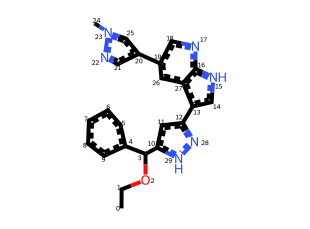 CCOC(c1ccccc1)c1cc(-c2c[nH]c3ncc(-c4cnn(C)c4)cc23)n[nH]1